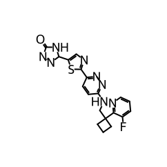 O=C1N=NC(c2cnc(-c3ccc(NCC4(c5ncccc5F)CCC4)nn3)s2)N1